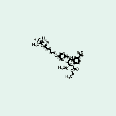 CCOC(=O)N1c2ccc(C(F)(F)F)cc2[C@@H](Nc2ncc(OCCCCC(=O)OC(C)(C)C)cn2)C[C@H]1CC